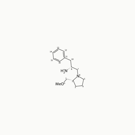 COC[C@H]1CCCN1C[C@H](N)Cc1ccccc1